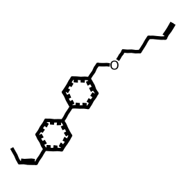 C=CCCCOCc1ccc(-c2ccc(/C=C\C)cc2)cc1